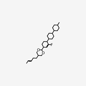 C/C=C/CCC1COC(C2C=C(F)C(C3CCC(C4CCC(C)CC4)CC3)CC2)OC1